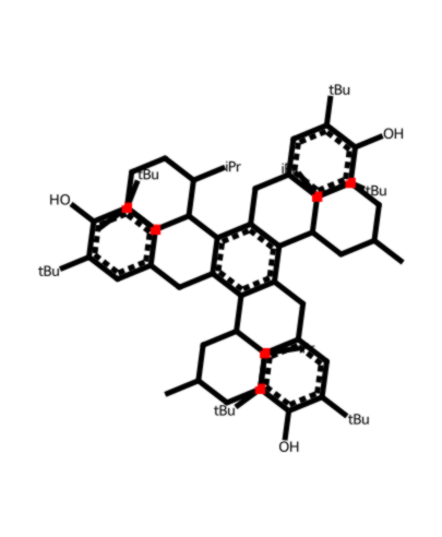 CC1CCC(C(C)C)C(c2c(Cc3cc(C(C)(C)C)c(O)c(C(C)(C)C)c3)c(C3CC(C)CCC3C(C)C)c(Cc3cc(C(C)(C)C)c(O)c(C(C)(C)C)c3)c(C3CC(C)CCC3C(C)C)c2Cc2cc(C(C)(C)C)c(O)c(C(C)(C)C)c2)C1